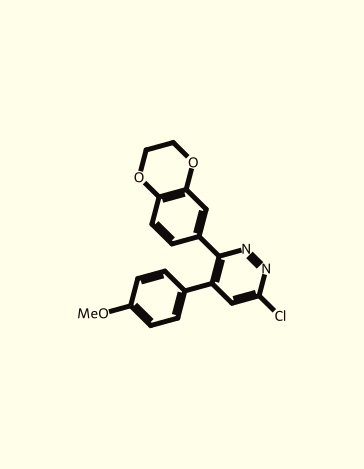 COc1ccc(-c2cc(Cl)nnc2-c2ccc3c(c2)OCCO3)cc1